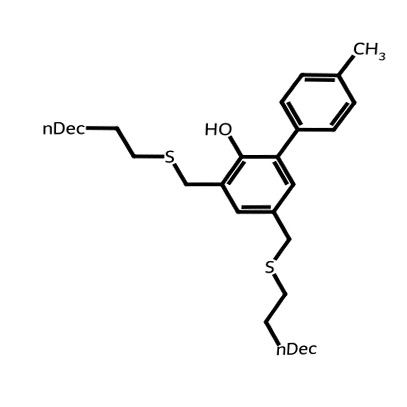 CCCCCCCCCCCCSCc1cc(CSCCCCCCCCCCCC)c(O)c(-c2ccc(C)cc2)c1